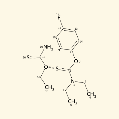 CCN(CC)C(=S)Oc1ccc(F)cc1.CCOC(N)=S